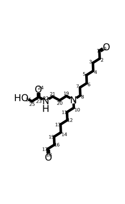 O=CCCCCCCCN(CCCCCCCC=O)CCCNC(=O)CO